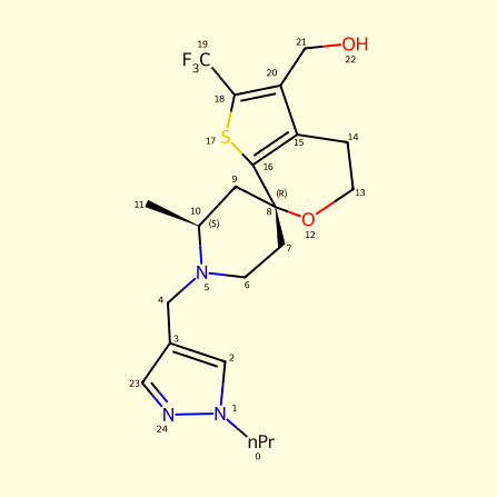 CCCn1cc(CN2CC[C@]3(C[C@@H]2C)OCCc2c3sc(C(F)(F)F)c2CO)cn1